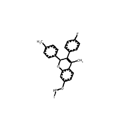 CC1=C(c2ccc(F)cc2)C(c2ccc(C)cc2)Oc2cc(OPI)ccc21